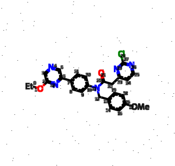 CCOc1cncc(-c2ccc(N(Cc3ccc(OC)cc3)C(=O)Cc3ccnc(Cl)n3)cc2)n1